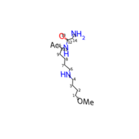 COCCCCNCCCCC(NC(=O)CN)C(C)=O